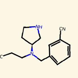 N#CCCN(Cc1cccc(C#N)c1)[C@H]1CCNC1